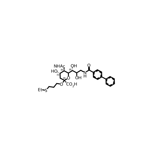 CCSCCCO[C@]1(C(=O)O)C[C@H](O)[C@@H](NC(C)=O)C([C@H](O)C(O)CNC(=O)c2ccc(-c3ccccc3)cc2)O1